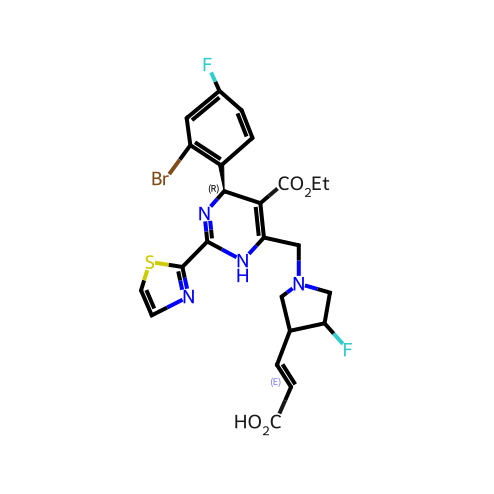 CCOC(=O)C1=C(CN2CC(F)C(/C=C/C(=O)O)C2)NC(c2nccs2)=N[C@H]1c1ccc(F)cc1Br